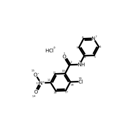 Cl.O=C(Nc1ccncc1)c1cc([N+](=O)[O-])ccc1Cl